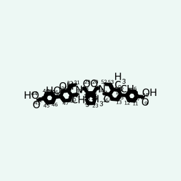 CC1(C)C(c2ccc(C(=O)O)cc2)=CC[C@]2(C)CN(C(=O)C3C4CCC(C4)C3C(=O)N3CC=C4C(O)(O)C(c5ccc(C(=O)O)cc5)=CC[C@]4(C)C3)CC=C12